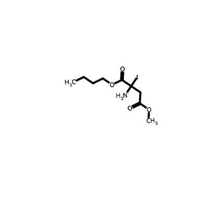 CCCCOC(=O)C(N)(I)CC(=O)OC